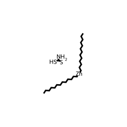 CCCCCCCCCCCC[CH2][Zn][CH2]CCCCCCCCCCCC.NC(=S)S